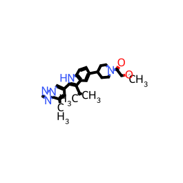 COCC(=O)N1CCC(c2ccc3[nH]c(-c4cc(C)c5ncnn5c4)c(C(C)C)c3c2)CC1